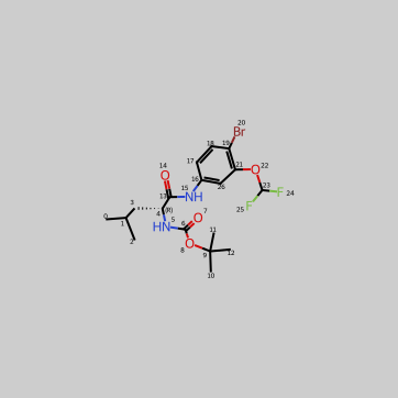 CC(C)C[C@@H](NC(=O)OC(C)(C)C)C(=O)Nc1ccc(Br)c(OC(F)F)c1